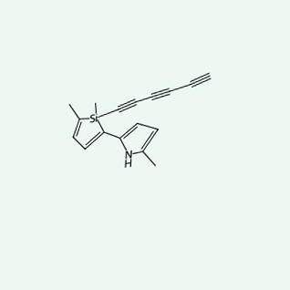 C#CC#CC#C[Si]1(C)C(C)=CC=C1c1ccc(C)[nH]1